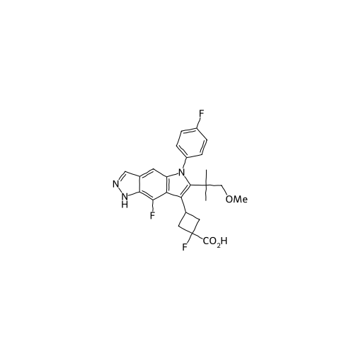 COCC(C)(C)c1c(C2CC(F)(C(=O)O)C2)c2c(F)c3[nH]ncc3cc2n1-c1ccc(F)cc1